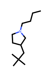 CCCCN1CCC(CC(C)(C)C)C1